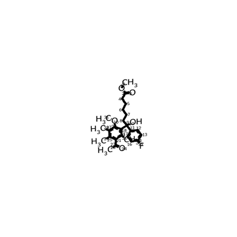 COC(=O)CCCCCC(O)(c1ccc(F)cc1)c1c(C)c(C(C)=O)c(C)c(C)c1OC